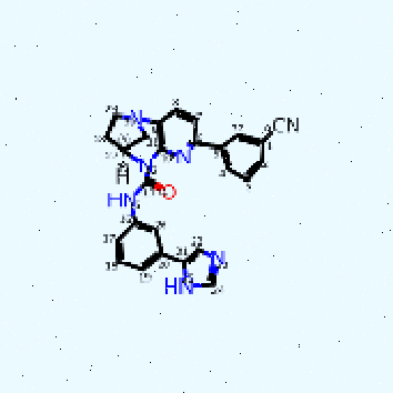 N#Cc1cccc(-c2ccc3c(n2)N(C(=O)Nc2cccc(-c4cnc[nH]4)c2)[C@H]2CCN3C2)c1